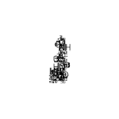 CC(C)(C)OC(=O)NCc1ccc2cc(C(=O)NC[C@H](NS(=O)(=O)c3ccccc3)C(=O)OC(C)(C)C)cc(=O)n2c1